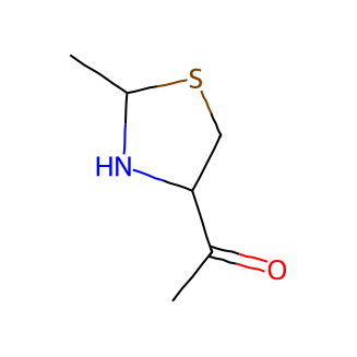 CC(=O)C1CSC(C)N1